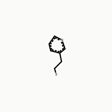 [S]CCc1cccnc1